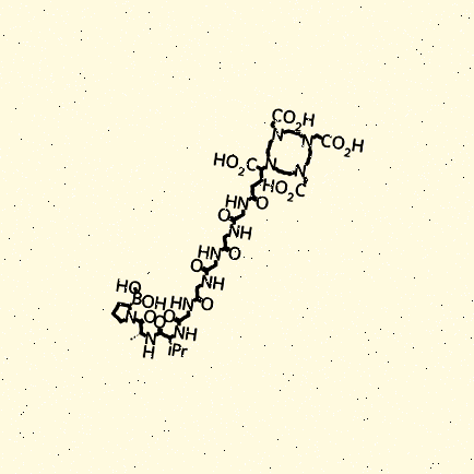 CC(C)[C@H](NC(=O)CNC(=O)CNC(=O)CNC(=O)CNC(=O)CNC(=O)CCC(C(=O)O)N1CCN(CC(=O)O)CCN(CC(=O)O)CCN(CC(=O)O)CC1)C(=O)N[C@H](C)C(=O)N1CCC[C@H]1B(O)O